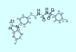 CCc1nc2cc(C)ccc2n1-c1ccc(CCNC(=O)NS(=O)(=O)c2ccc(C)cc2)cc1